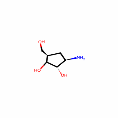 N[C@@H]1C[C@H](CO)C(O)[C@H]1O